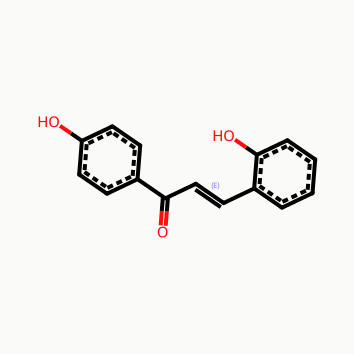 O=C(/C=C/c1ccccc1O)c1ccc(O)cc1